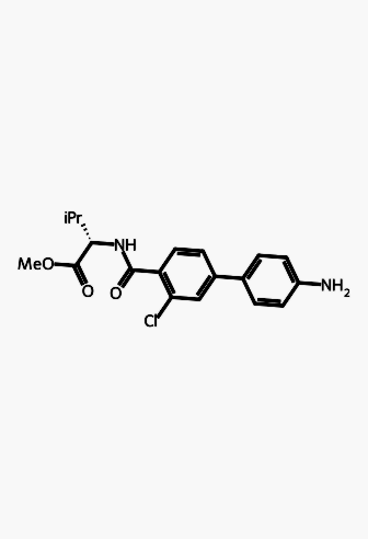 COC(=O)[C@@H](NC(=O)c1ccc(-c2ccc(N)cc2)cc1Cl)C(C)C